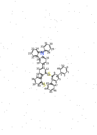 c1ccc(-c2ccc3c(c2)Sc2cc(-c4ccc5c(c4)c4ccccc4n5-c4ccccc4)ccc2-c2ccccc2Sc2ccccc2-3)cc1